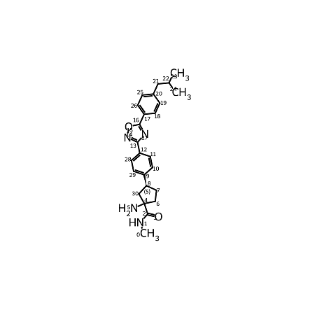 CNC(=O)C1(N)CC[C@H](c2ccc(-c3noc(-c4ccc(CC(C)C)cc4)n3)cc2)C1